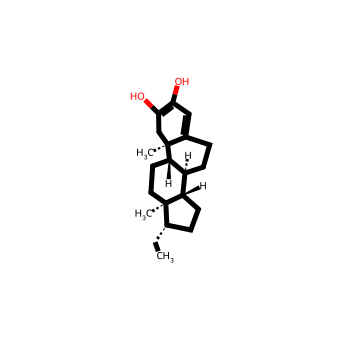 CC[C@H]1CC[C@H]2[C@@H]3CCC4=CC(O)=C(O)C[C@]4(C)[C@H]3CC[C@]12C